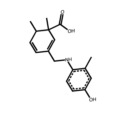 Cc1cc(O)ccc1NCC1=CC(C)(C(=O)O)C(C)C=C1